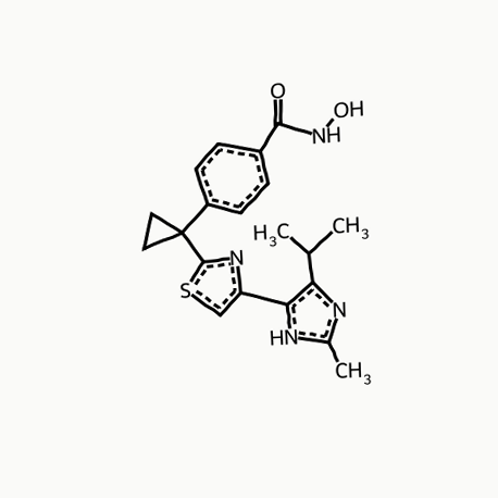 Cc1nc(C(C)C)c(-c2csc(C3(c4ccc(C(=O)NO)cc4)CC3)n2)[nH]1